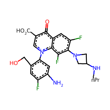 CCCNC1CN(c2c(F)cc3c(=O)c(C(=O)O)cn(-c4cc(N)c(F)cc4CO)c3c2F)C1